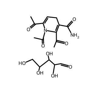 CC(=O)C1=CCC(C(N)=O)=C(C(C)=O)N1C(C)=O.O=CC(O)C(O)C(O)CO